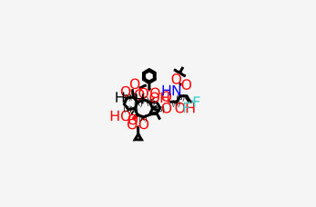 CC(=O)O[C@@]12CO[C@@H]1C[C@H](O)[C@@]1(C)C(=O)[C@H](OC(=O)C3CC3)C3=C(C)[C@@H](OC(=O)[C@H](O)[C@H](C=C(F)F)NC(=O)OC(C)(C)C)C[C@@](O)([C@@H](OC(=O)c4ccccc4)[C@H]21)C3(C)C